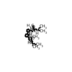 CCC[C@@H](CC)NCc1ncc(-c2cccc(-c3cccc(-c4cnc(CN[C@H](CC)CCC)c(OC)n4)c3Cl)c2Cl)nc1OC